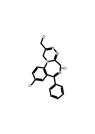 Cl.ClCC1=NN=C2CN=C(c3ccccc3)c3cc(Cl)ccc3N2C1